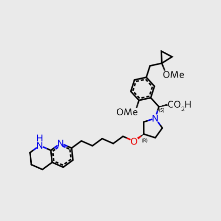 COc1ccc(CC2(OC)CC2)cc1[C@@H](C(=O)O)N1CC[C@@H](OCCCCCc2ccc3c(n2)NCCC3)C1